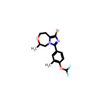 Cc1cc(-c2nc(Br)c3n2CC(C)OCC3)ccc1OC(F)F